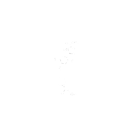 CC(C)(C)OC(=O)N1CCC(CCOc2cc(F)c(C(=O)NS(C)(=O)=O)cc2F)CC1